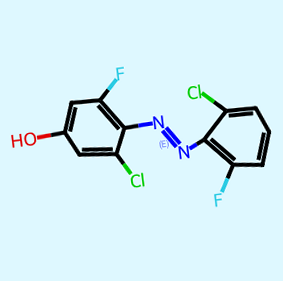 Oc1cc(F)c(/N=N/c2c(F)cccc2Cl)c(Cl)c1